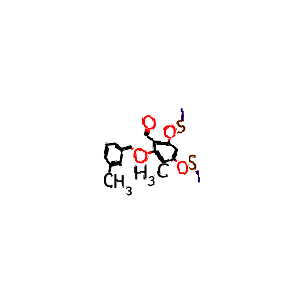 Cc1cccc(COc2c(C)c(OSI)cc(OSI)c2C=O)c1